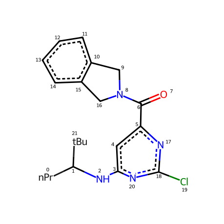 CCCC(Nc1cc(C(=O)N2Cc3ccccc3C2)nc(Cl)n1)C(C)(C)C